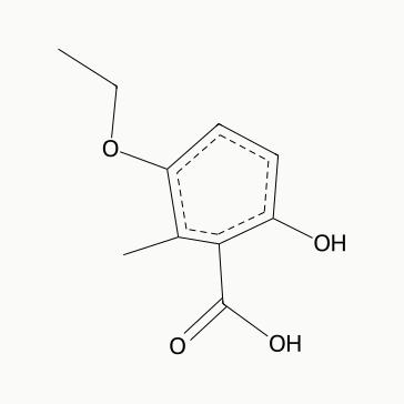 CCOc1ccc(O)c(C(=O)O)c1C